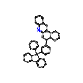 c1ccc(C2(c3cccc(-c4cc5nc6ccccc6cc5c5ccccc45)c3)c3ccccc3-c3ccccc32)cc1